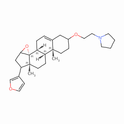 C[C@]12CCC(OCCN3CCCC3)CC1=CC[C@@H]1[C@H]2CC[C@]2(C)C(c3ccoc3)CC3O[C@]312